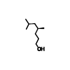 CC(C)C[C@@H](C)CCCO